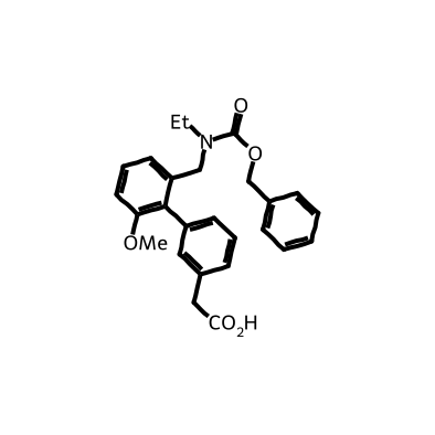 CCN(Cc1cccc(OC)c1-c1cccc(CC(=O)O)c1)C(=O)OCc1ccccc1